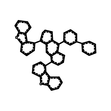 c1ccc(-c2cccc(-c3c4cccc(-c5cccc6oc7ccccc7c56)c4cc4c(-c5cccc6oc7ccccc7c56)cccc34)c2)cc1